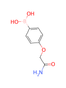 NC(=O)COc1ccc(B(O)O)cc1